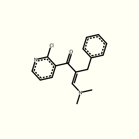 CN(C)C=C(Cc1ccccc1)C(=O)c1cccnc1Cl